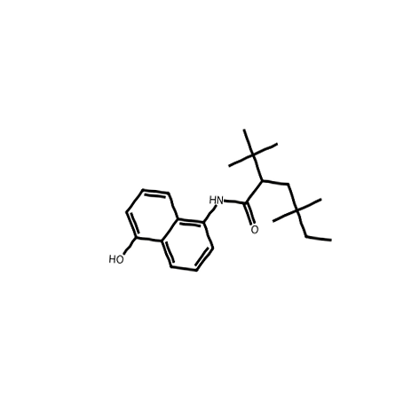 CCC(C)(C)CC(C(=O)Nc1cccc2c(O)cccc12)C(C)(C)C